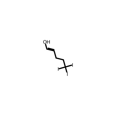 OC=CCCC(I)(I)I